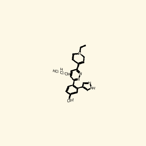 CCN1CC=C(c2ccc(-c3ccc(O)cc3-c3cn[nH]c3)nn2)CC1.Cl.Cl.Cl